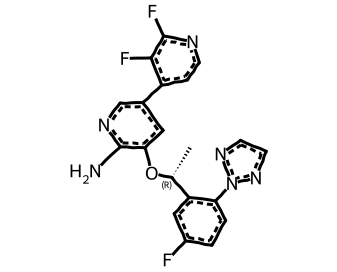 C[C@@H](Oc1cc(-c2ccnc(F)c2F)cnc1N)c1cc(F)ccc1-n1nccn1